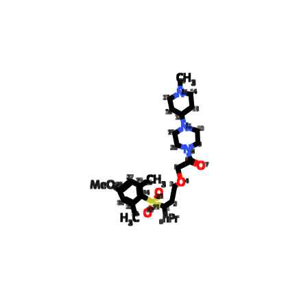 CCCC(CCOCC(=O)N1CCN(C2CCN(C)CC2)CC1)S(=O)(=O)c1c(C)cc(OC)cc1C